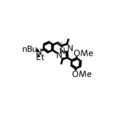 CCCCN(CC)c1ccc(/C=c2/c(C)nc3c(-c4cc(OC)ccc4OC)c(C)nn23)c(C)c1